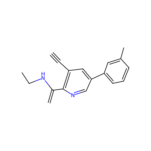 C#Cc1cc(-c2cccc(C)c2)cnc1C(=C)NCC